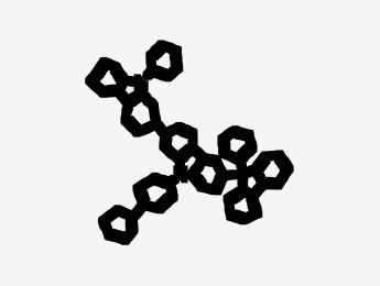 C1=CCCC(c2ccc(-n3c4ccc(C5(c6ccccc6)c6ccccc6-c6ccccc65)cc4c4ccc(C5C=Cc6c(n(-c7ccccc7)c7ccccc67)C5)cc43)cc2)=C1